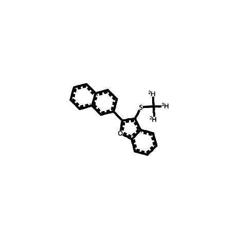 [2H]C([2H])([2H])Sc1c(-c2ccc3ccccc3c2)oc2ccccc12